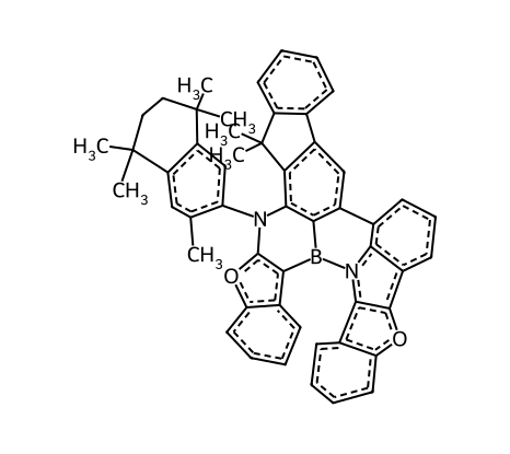 Cc1cc2c(cc1N1c3oc4ccccc4c3B3c4c(cc5c(c41)C(C)(C)c1ccccc1-5)-c1cccc4c5oc6ccccc6c5n3c14)C(C)(C)CCC2(C)C